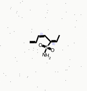 C=C/C=C\C(=C/C)S(N)(=O)=O